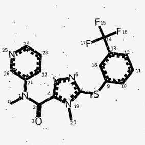 CN(C(=O)c1cnc(Sc2cccc(C(F)(F)F)c2)n1C)c1cccnc1